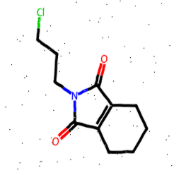 O=C1C2=C(CCCC2)C(=O)N1CCCCl